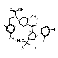 Cc1ccc(C[C@@H](C(=O)O)N2CCN(C(=O)[C@@H]3CN(C(C)(C)C)C[C@H]3c3ccc(F)cc3F)[C@@H](C)C2)c(F)c1